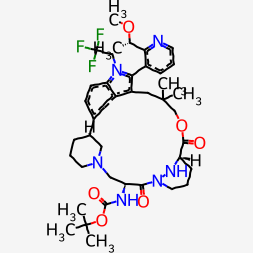 CO[C@@H](C)c1ncccc1-c1c2c3cc(ccc3n1CC(F)(F)F)[C@H]1CCCN(C1)C[C@H](NC(=O)OC(C)(C)C)C(=O)N1CCC[C@H](N1)C(=O)OCC(C)(C)C2